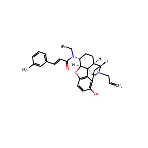 C=CCN1CC[C@@]23c4c5ccc(O)c4C[C@@H]1[C@@H]2CC[C@@H](N(CC(C)C)C(=O)C=Cc1cccc(C)c1)[C@@H]3O5